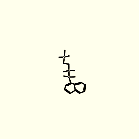 C[Si](C)(C)CC[Si](C)(C)[Si](C)(C)c1cccc2ccccc12